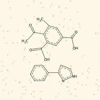 CC(=O)c1c(C)cc(C(=O)O)cc1C(=O)O.c1ccc(-c2cc[nH]n2)cc1